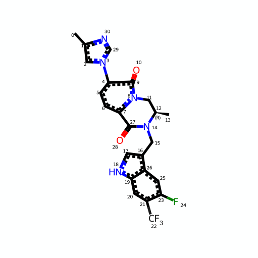 Cc1cn(-c2ccc3n(c2=O)C[C@@H](C)N(Cc2c[nH]c4cc(C(F)(F)F)c(F)cc24)C3=O)cn1